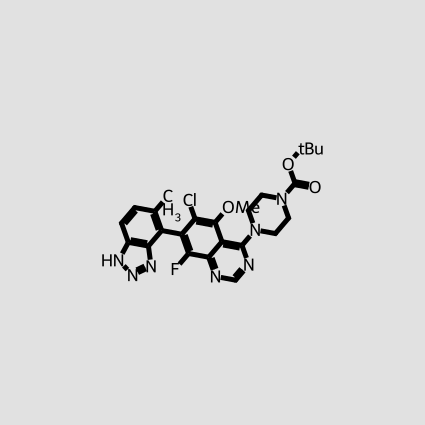 COc1c(Cl)c(-c2c(C)ccc3[nH]nnc23)c(F)c2ncnc(N3CCN(C(=O)OC(C)(C)C)CC3)c12